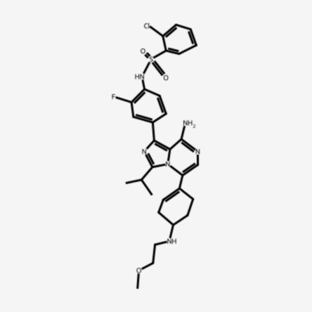 COCCNC1CC=C(c2cnc(N)c3c(-c4ccc(NS(=O)(=O)c5ccccc5Cl)c(F)c4)nc(C(C)C)n23)CC1